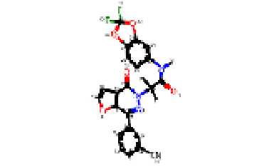 CN(C(=O)C(C)(C)N1N=C(c2cccc(C#N)c2)C2OC=CC2C1=O)c1ccc2c(c1)OC(F)(F)O2